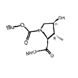 COC(=O)C1[C@@H](C)[C@H](O)CN1C(=O)OC(C)(C)C